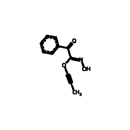 CC#COC(=NO)C(=O)c1ccccc1